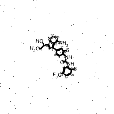 C=CC(O)c1cc(-c2ccc(NC(=O)Nc3cc(C(F)(F)F)ccc3F)c(F)c2)c2c(N)ncnn12